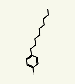 CCCCCCCCCc1ccc(I)cc1